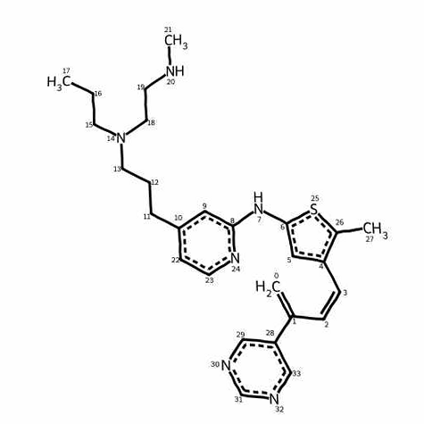 C=C(/C=C\c1cc(Nc2cc(CCCN(CCC)CCNC)ccn2)sc1C)c1cncnc1